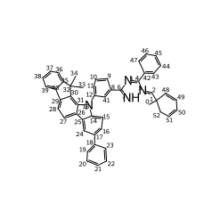 CC1(/C=N/C(=N\C(=N)c2cccc(-n3c4ccc(-c5ccccc5)cc4c4ccc5c(c43)C(C)(C)c3ccccc3-5)c2)c2ccccc2)C=CC=CC1